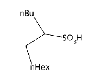 CCCCCCCC(CCCC)S(=O)(=O)O